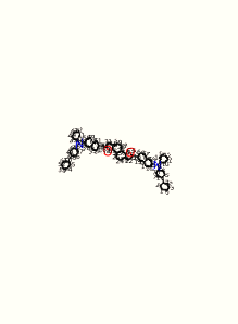 c1ccc(-c2ccc(N(c3ccccc3)c3ccc4cc(-c5cc6ccc7c(ccc8cc(-c9ccc%10cc(N(c%11ccccc%11)c%11ccc(-c%12ccccc%12)cc%11)ccc%10c9)oc87)c6o5)ccc4c3)cc2)cc1